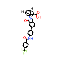 O=C(Nc1ccc(-c2ccc3c(c2)C(=O)N(C24C[C@@H]5C[C@@H](CC(C(=O)O)(C5)C2)C4)C3)cc1)c1ccc(C(F)(F)F)cc1